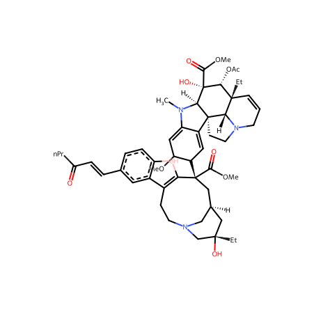 CCCC(=O)/C=C/c1ccc2c(c1)C1=C(B2)[C@@](C(=O)OC)(C2C=C3C(=CC2OC)N(C)[C@H]2[C@@](O)(C(=O)OC)[C@H](OC(C)=O)[C@]4(CC)C=CCN5CC[C@]32[C@@H]54)C[C@@H]2CN(CC1)C[C@](O)(CC)C2